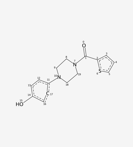 O=C(c1cccs1)N1CCN(c2ccc(O)cc2)CC1